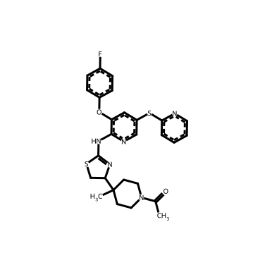 CC(=O)N1CCC(C)(C2CSC(Nc3ncc(Sc4ccccn4)cc3Oc3ccc(F)cc3)=N2)CC1